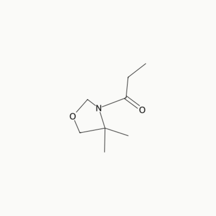 CCC(=O)N1COCC1(C)C